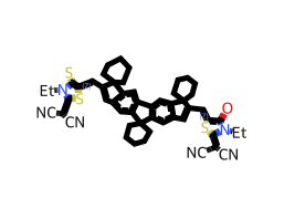 CCn1c(=C(C#N)C#N)s/c(=C\C2=Cc3cc4c(cc3C23CCCCC3)-c2cc3c(cc2C42CCCCC2)C=C(/C=c2\sc(=C(C#N)C#N)n(CC)c2=S)C32CCCCC2)c1=O